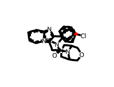 CCN(C(=O)N1C2COCC1CN(Cc1c(-c3ccc(Cl)cc3)nc3ccccn13)C2)c1ccccc1